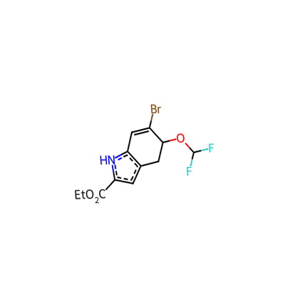 CCOC(=O)c1cc2c([nH]1)C=C(Br)C(OC(F)F)C2